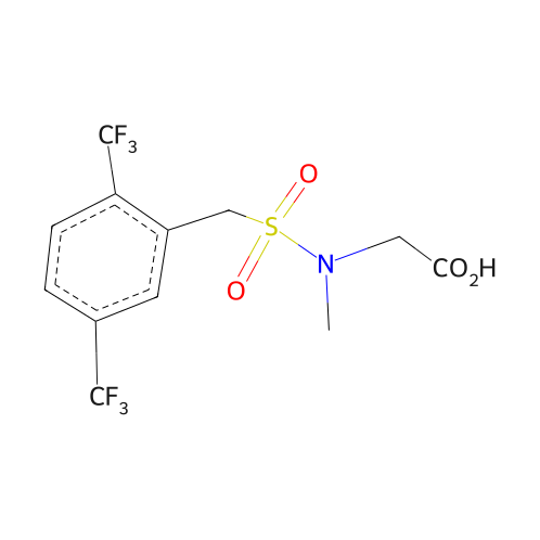 CN(CC(=O)O)S(=O)(=O)Cc1cc(C(F)(F)F)ccc1C(F)(F)F